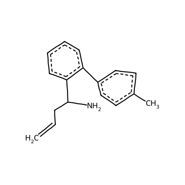 C=CCC(N)c1ccccc1-c1ccc(C)cc1